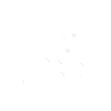 CN(C)C(=O)c1ccc2c(n1)c(N1CCN(C(c3ccc(F)cc3)c3ccc(F)cc3)CC1)c(C#N)c(=O)n2C